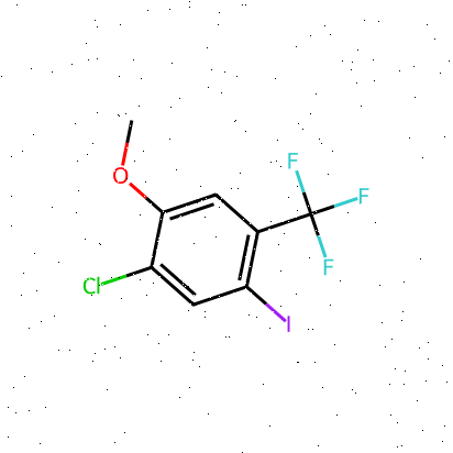 COc1cc(C(F)(F)F)c(I)cc1Cl